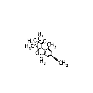 CC#Cc1cc(C)c(C2C(=O)N(C)C(C)(C)C2=O)c(C)c1